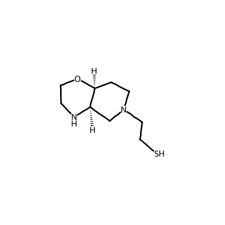 SCCN1CC[C@@H]2OCCN[C@@H]2C1